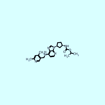 Cc1cc(C)c(CNc2ccnc3c2ncn3[C@H]2CC[C@@H](NC(=O)OC(C)C)C2)cn1